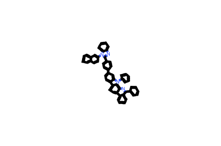 c1ccc(-c2nc3c(ccc4c5ccc(-c6ccc(-c7nc8ccccc8n7-c7ccc8ccccc8c7)cc6)cc5n(-c5ccccc5)c43)c3ccccc23)cc1